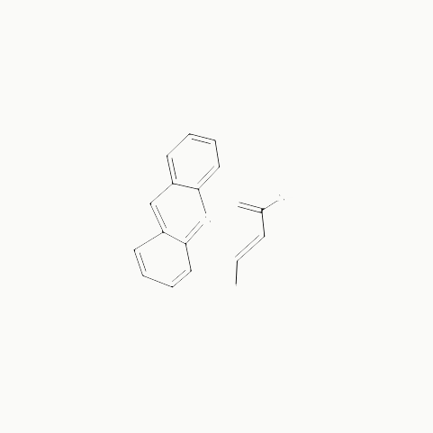 NC(=O)C=CC(=O)O.c1ccc2nc3ccccc3cc2c1